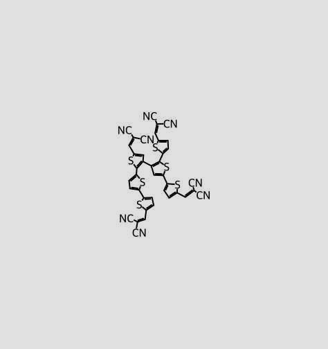 N#CC(C#N)=Cc1ccc(-c2ccc(-c3sc(C=C(C#N)C#N)cc3-c3cc(-c4ccc(C=C(C#N)C#N)s4)sc3-c3ccc(C=C(C#N)C#N)s3)s2)s1